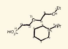 CCCN1CCCCC1.CCOCCOCCC(=O)O